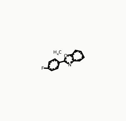 C.Fc1ccc(-c2nc3ccccc3o2)cc1